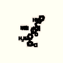 Cl.Cl.NCC1(c2cccc(Cl)c2)CCC(N2CCn3c(Cc4cc5ccccc5[nH]4)nnc3C2=O)CC1